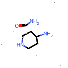 NC1CCNCC1.NC=O